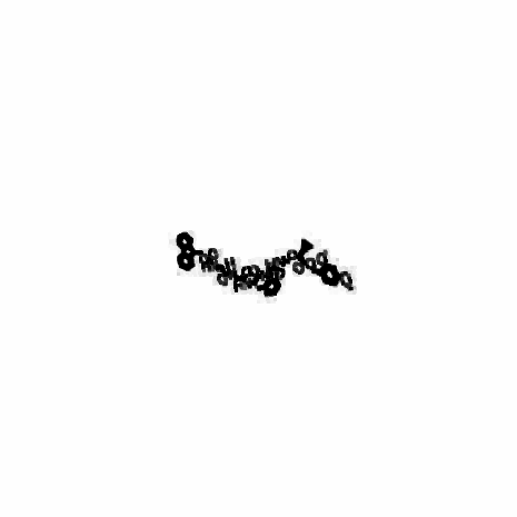 COc1ccc(COC(=O)[C@H](OCNC(=O)CNC(=O)[C@H](Cc2ccccc2)NC(=O)CNC(=O)CNC(=O)OCC2c3ccccc3-c3ccccc32)C2CC2)c(OC)c1